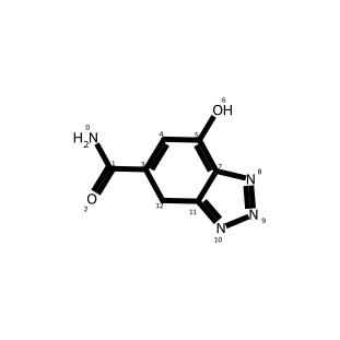 NC(=O)C1=CC(O)=C2N=NN=C2C1